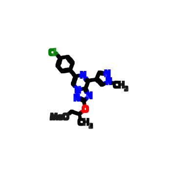 COC[C@H](C)Oc1nc2c(-c3cnn(C)c3)nc(-c3ccc(Cl)cc3)cn2n1